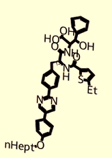 CCCCCCCOc1ccc(-c2cnc(-c3ccc(C[C@H](NC(=O)c4ccc(CC)s4)C(=O)NC(C(O)O)C(O)c4ccccc4)cc3)nc2)cc1